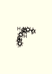 Nc1ccc(-c2cccs2)cc1NC(=O)c1ccc(Cn2cc3ccccc3n2)cc1